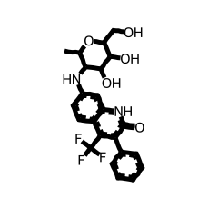 CC1OC(CO)C(O)C(O)C1Nc1ccc2c(C(F)(F)F)c(-c3ccccc3)c(=O)[nH]c2c1